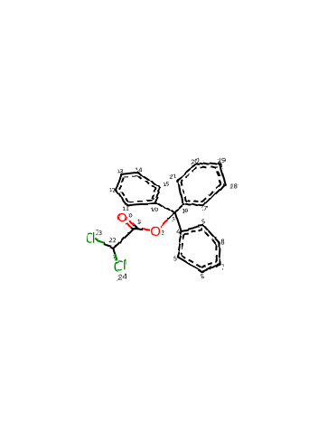 O=C(OC(c1ccccc1)(c1ccccc1)c1ccccc1)C(Cl)Cl